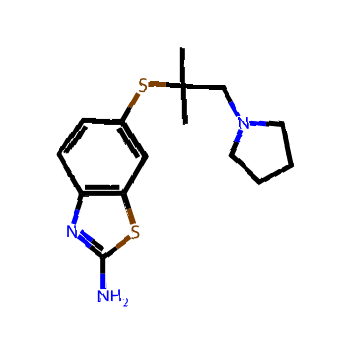 CC(C)(CN1CCCC1)Sc1ccc2nc(N)sc2c1